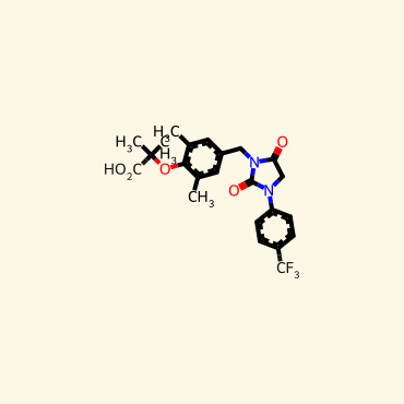 Cc1cc(CN2C(=O)CN(c3ccc(C(F)(F)F)cc3)C2=O)cc(C)c1OC(C)(C)C(=O)O